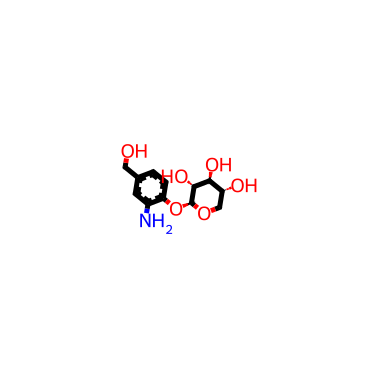 Nc1cc(CO)ccc1O[C@@H]1OC[C@@H](O)[C@H](O)[C@H]1O